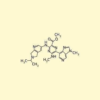 CNc1nc(Nc2cnc3c(c2)CN(C(C)C)C3)c(C(=O)OC)nc1-c1cncc2c1ncn2C